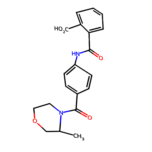 CC1COCCN1C(=O)c1ccc(NC(=O)c2ccccc2C(=O)O)cc1